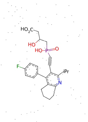 CC(C)c1nc2c(c(-c3ccc(F)cc3)c1C#CP(=O)(O)CC(O)CC(=O)O)CCCC2